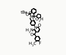 Cc1cc(C(=O)c2ccc(=O)n(-c3ccc(CN(C(=O)OC(C)(C)C)C(C(=O)O)(c4ccccc4)C4CCCC4)cc3)c2N)ccc1F